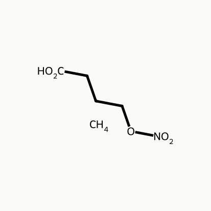 C.O=C(O)CCCO[N+](=O)[O-]